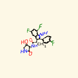 CC(C(=O)N[C@@H]1C(=O)NC[C@H]1O)c1c(-c2ccc(F)cc2)[nH]c2c(F)cc(F)cc12